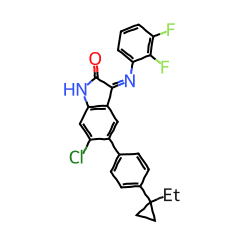 CCC1(c2ccc(-c3cc4c(cc3Cl)NC(=O)/C4=N\c3cccc(F)c3F)cc2)CC1